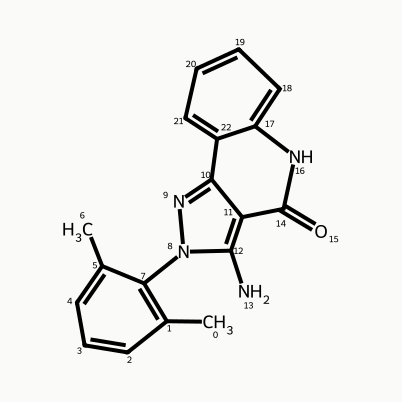 Cc1cccc(C)c1-n1nc2c(c1N)c(=O)[nH]c1ccccc12